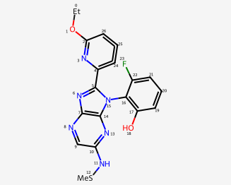 CCOC1=NC(c2nc3ncc(NSC)nc3n2-c2c(O)cccc2F)=C=C=C1